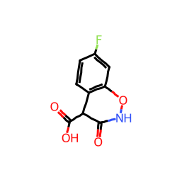 O=C(O)C1C(=O)NOc2cc(F)ccc21